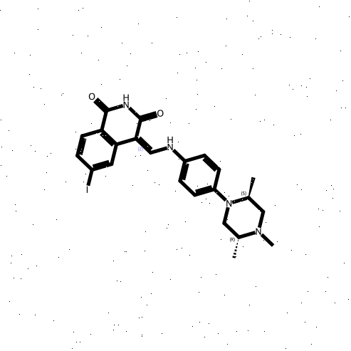 C[C@@H]1CN(c2ccc(N/C=C3\C(=O)NC(=O)c4ccc(I)cc43)cc2)[C@@H](C)CN1C